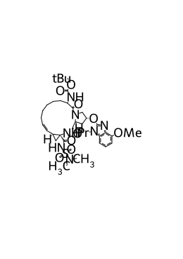 COc1cccc2c1nc(O[C@@H]1C[C@H]3C(=O)N[C@]4(C(=O)NS(=O)(=O)N(C)C)C[C@H]4/C=C\CCCCC[C@H](NC(=O)OC(C)(C)C)C(=O)N3C1)n2C(C)C